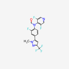 Cn1nc(C(F)(F)F)cc1-c1ccc(N(C=O)c2c(F)cncc2F)c(F)c1